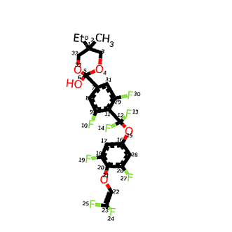 CCC1(C)COC(O)(c2cc(F)c(C(F)(F)Oc3cc(F)c(OC=C(F)F)c(F)c3)c(F)c2)OC1